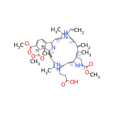 C=Cc1c(C)/c2[nH]/c1=C\C(=C)/C(C)=C(CCC(=O)OC)\C(N)=C\c1[nH]c(c(C)c1CCC(=O)O)/C=C1N=C(/C=2)C2=CC=C(C(=O)OC)[C@@H](C(=O)OC)[C@]2\1C